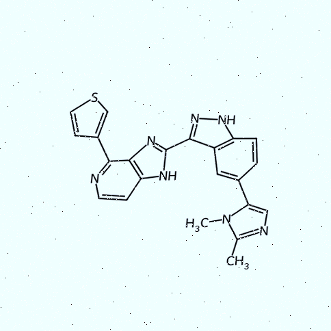 Cc1ncc(-c2ccc3[nH]nc(-c4nc5c(-c6ccsc6)nccc5[nH]4)c3c2)n1C